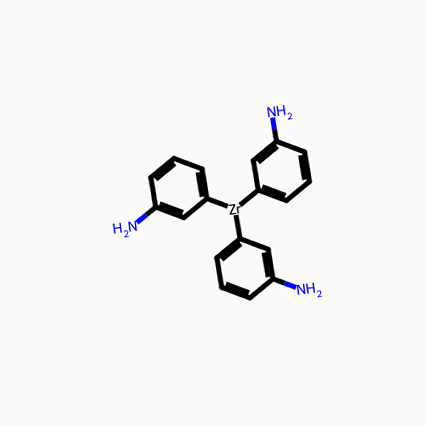 Nc1ccc[c]([Zr]([c]2cccc(N)c2)[c]2cccc(N)c2)c1